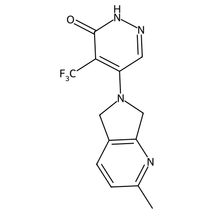 Cc1ccc2c(n1)CN(c1cn[nH]c(=O)c1C(F)(F)F)C2